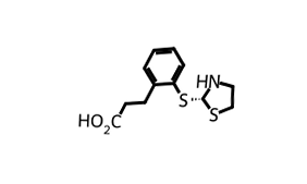 O=C(O)CCc1ccccc1S[C@@H]1NCCS1